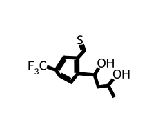 CC(O)CC(O)c1ccc(C(F)(F)F)cc1C=S